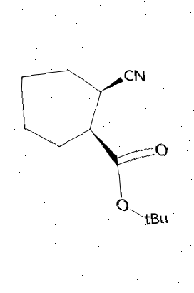 CC(C)(C)OC(=O)[C@H]1CCCC[C@H]1C#N